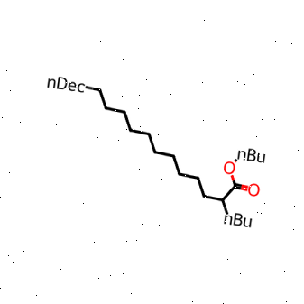 CCCCCCCCCCCCCCCCCCCCC(CCCC)C(=O)OCCCC